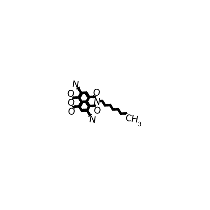 CCCCCCCCN1C(=O)c2cc(C#N)c3c4c(cc(C#N)c(c24)C1=O)C(=O)OC3=O